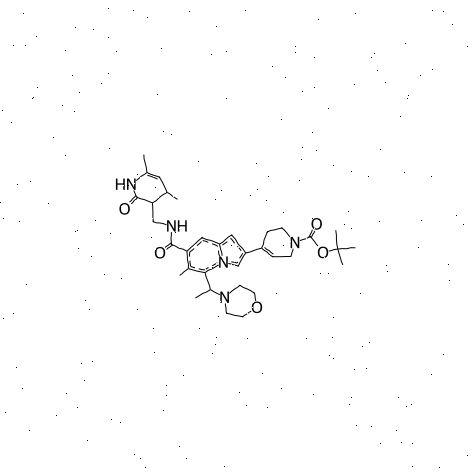 CC1=CC(C)C(CNC(=O)c2cc3cc(C4=CCN(C(=O)OC(C)(C)C)CC4)cn3c(C(C)N3CCOCC3)c2C)C(=O)N1